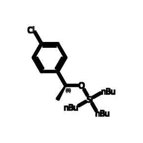 CCCC[Si](CCCC)(CCCC)O[C@@H](C)c1ccc(Cl)cc1